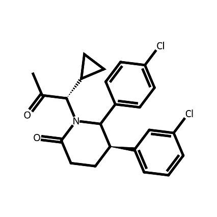 CC(=O)[C@H](C1CC1)N1C(=O)CC[C@H](c2cccc(Cl)c2)C1c1ccc(Cl)cc1